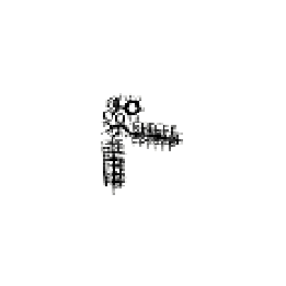 CC1(C)COC(C2(c3ccccc3)CO2)OC1(CCC(F)(F)C(F)(F)C(F)(F)C(F)(F)C(F)(F)C(F)(F)F)CCC(F)(F)C(F)(F)C(F)(F)C(F)(F)C(F)(F)C(F)(F)F